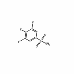 NS(=O)(=O)c1cc(F)c(F)c(F)c1